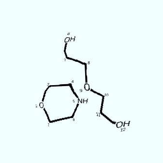 C1COCCN1.OCCOCCO